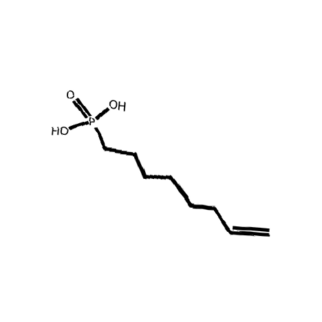 C=CCCCCCCP(=O)(O)O